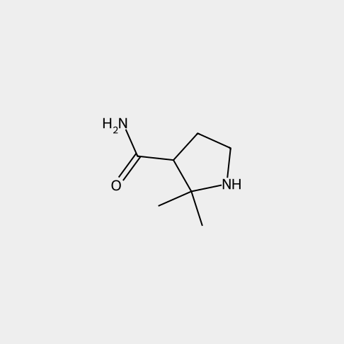 CC1(C)NCCC1C(N)=O